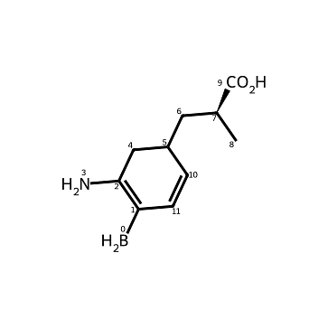 BC1=C(N)CC(C[C@H](C)C(=O)O)C=C1